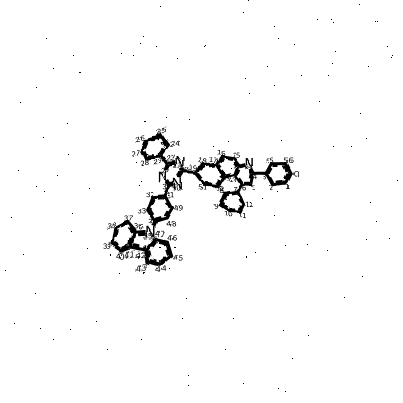 c1ccc(-c2cc(-c3ccccc3)c3c(ccc4cc(-c5nc(-c6ccccc6)nc(-c6ccc(-n7c8ccccc8c8ccccc87)cc6)n5)ccc43)n2)cc1